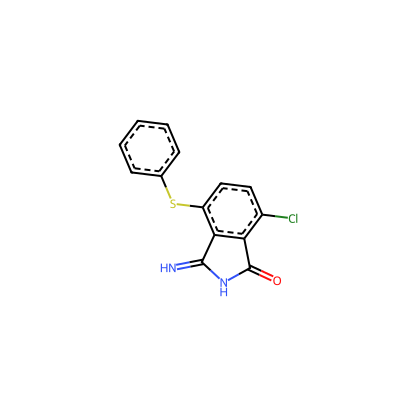 N=C1NC(=O)c2c(Cl)ccc(Sc3ccccc3)c21